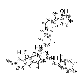 COC(=O)[C@H](Cc1ccc(C#N)cc1)Nc1nc(NCc2nc3cc(F)ccc3[nH]2)nc(Nc2cccc(CN3CCN(C(=O)C4C=CN=NC4O)CC3)c2)n1